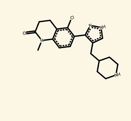 CN1C(=O)CCc2c1ccc(-c1n[nH]cc1CC1CCNCC1)c2Cl